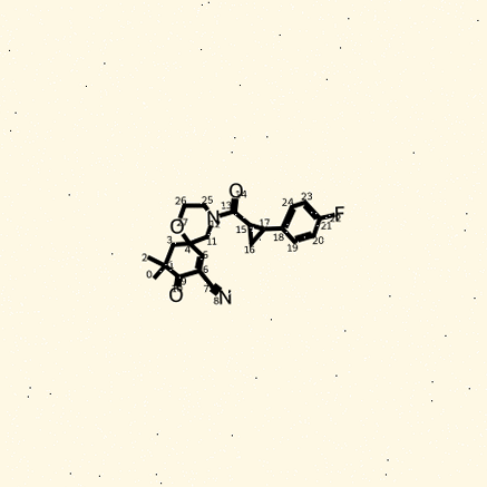 CC1(C)CC2(C=C(C#N)C1=O)CN(C(=O)C1CC1c1ccc(F)cc1)CCO2